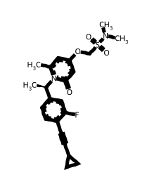 Cc1cc(OCS(=O)(=O)N(C)C)cc(=O)n1[C@H](C)c1ccc(C#CC2CC2)c(F)c1